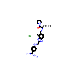 CCOC(=O)C(NCc1ccc2[nH]c(CNc3ccc(C(=N)N)cc3)nc2c1C)C(=O)N1CCCC1.Cl